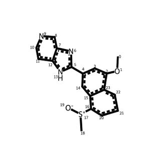 COc1cc(-c2nc3cnccc3[nH]2)cc2c([S+](C)[O-])cccc12